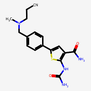 CN(CCC#N)Cc1ccc(-c2cc(C(N)=O)c(NC(N)=O)s2)cc1